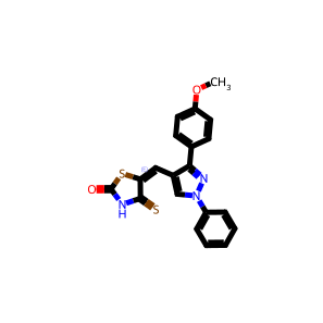 COc1ccc(-c2nn(-c3ccccc3)cc2/C=C2/SC(=O)NC2=S)cc1